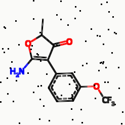 CC1OC(N)=C(c2cccc(OC(F)(F)F)c2)C1=O